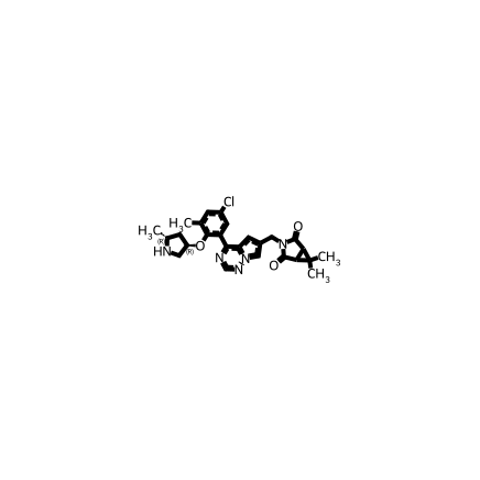 Cc1cc(Cl)cc(-c2ncnn3cc(CN4C(=O)C5C(C4=O)C5(C)C)cc23)c1O[C@H]1CN[C@H](C)C1